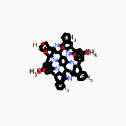 Cc1ccc2c(c1)c1cc(C)ccc1n2-c1c(-c2cc(-c3ccccc3)nc(-c3ccccc3)c2)c(-n2c3ccc(C)cc3c3cc(C)ccc32)c(-n2c3ccc(C)cc3c3cc(C)ccc32)c(-c2cc(-c3ccccc3)nc(-c3ccccc3)c2)c1-n1c2ccc(C)cc2c2cc(C)ccc21